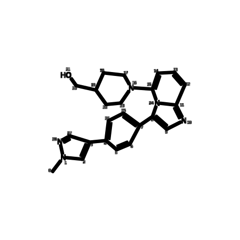 Cn1cc(-c2ccc(-c3cnc4cccc(N5CCC(CO)CC5)n34)cc2)cn1